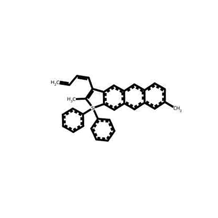 C=C/C=C\C1=C(C)[Si](c2ccccc2)(c2ccccc2)c2cc3cc4cc(C)ccc4cc3cc21